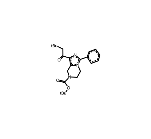 CC(C)(C)CC(=O)c1nc(-c2ccccc2)n2c1CN(C(=O)OC(C)(C)C)CC2